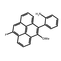 COc1c(-c2ccccc2N)c2cccc3cc(F)c4cccc1c4c32